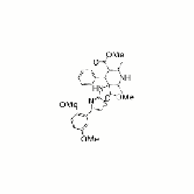 COC(=O)C1=C(C)NC(C)C(Nc2nc(-c3cc(OC)ccc3OC)cs2)(C(=O)OC)C1c1ccccc1